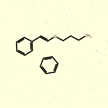 CCCCOC=Cc1ccccc1.c1ccccc1